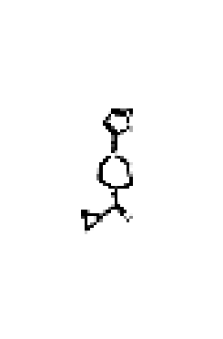 O=C(C1CC1)N1CCN(c2ccn[nH]2)CC1